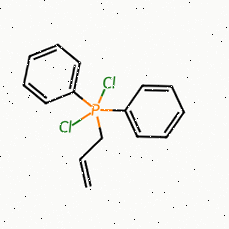 C=CCP(Cl)(Cl)(c1ccccc1)c1ccccc1